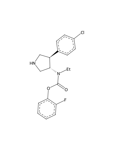 CCN(C(=O)Oc1ccccc1F)[C@@H]1CNC[C@H]1c1ccc(Cl)cc1